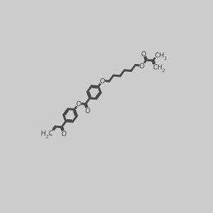 C=CC(=O)c1ccc(OC(=O)c2ccc(OCCCCCCOC(=O)C(=C)C)cc2)cc1